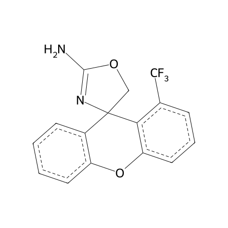 NC1=NC2(CO1)c1ccccc1Oc1cccc(C(F)(F)F)c12